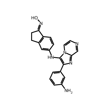 Nc1cccc(-c2nc3cnccn3c2Nc2ccc3c(c2)CCC3=NO)c1